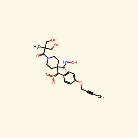 CC#CCOc1ccc(C(=S(=O)=O)C2(C(=O)NO)CCN(C(=O)C(C)(CO)CO)CC2)cc1